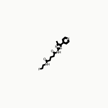 Cc1nc(NC(=O)CCCC(=O)NCCF)sc1-c1ccncc1